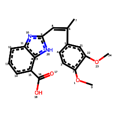 COc1ccc(C(C)=Cc2nc3cccc(C(=O)O)c3[nH]2)cc1OC